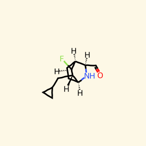 O=C[C@H]1N[C@H]2CC[C@@H]1[C@H](F)[C@H]2CC1CC1